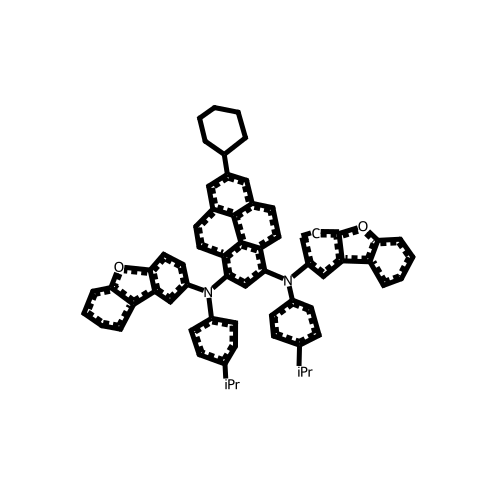 CC(C)c1ccc(N(c2ccc3oc4ccccc4c3c2)c2cc(N(c3ccc(C(C)C)cc3)c3ccc4oc5ccccc5c4c3)c3ccc4cc(C5CCCCC5)cc5ccc2c3c54)cc1